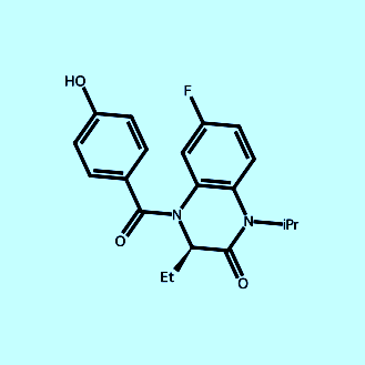 CC[C@@H]1C(=O)N(C(C)C)c2ccc(F)cc2N1C(=O)c1ccc(O)cc1